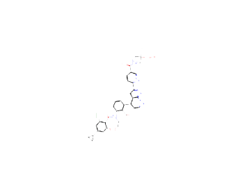 CC1(O)CN(C(=O)c2ccc(-c3cc4c(-c5cccc(N6CCOc7cc(C8CC8)cc(F)c7C6=O)c5CO)ccnc4[nH]3)nc2)C1